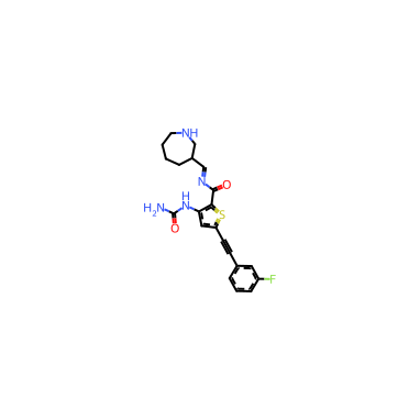 NC(=O)Nc1cc(C#Cc2cccc(F)c2)sc1C(=O)/N=C/C1CCCCNC1